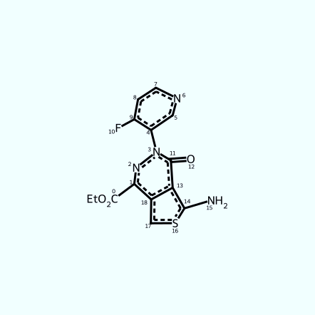 CCOC(=O)c1nn(-c2cnccc2F)c(=O)c2c(N)scc12